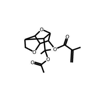 C=C(C)C(=O)OC1C2OCC3C2OC1C3C(C)(C)OC(C)=O